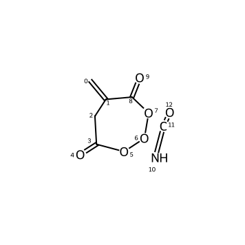 C=C1CC(=O)OOOC1=O.N=C=O